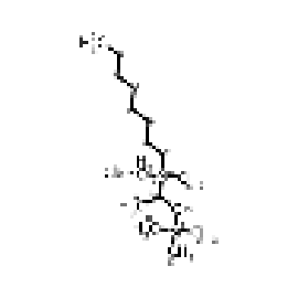 CCCCCCCC[N+](C)(C)C(C)O[Si](C)(C)C.[Cl-]